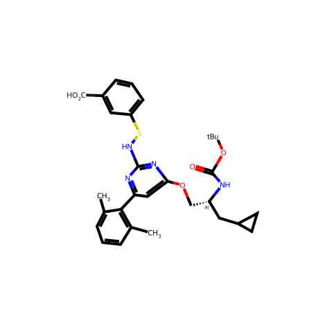 Cc1cccc(C)c1-c1cc(OC[C@@H](CC2CC2)NC(=O)OC(C)(C)C)nc(NSc2cccc(C(=O)O)c2)n1